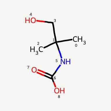 CC(C)(CO)NC(=O)O